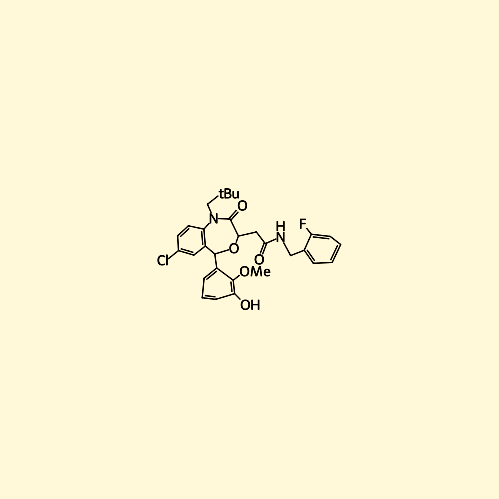 COc1c(O)cccc1C1OC(CC(=O)NCc2ccccc2F)C(=O)N(CC(C)(C)C)c2ccc(Cl)cc21